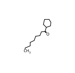 CCCCCCCCC(=O)C1CCCCC1